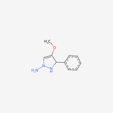 COC1=CN(N)NC1c1ccccc1